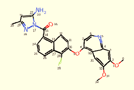 COc1cc2nccc(Oc3ccc4c(C(=O)n5nc(C)cc5N)cccc4c3F)c2cc1OC